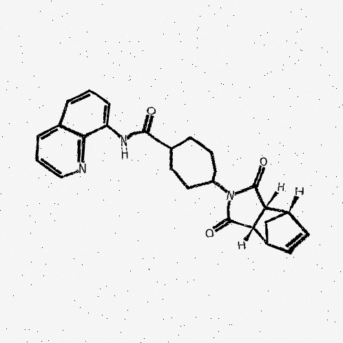 O=C(Nc1cccc2cccnc12)C1CCC(N2C(=O)[C@@H]3[C@@H]4C=CC(C4)[C@@H]3C2=O)CC1